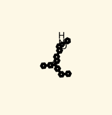 c1ccc(-c2ccc(N(c3ccc(-c4cccc(-c5ccccc5)c4)cc3)c3ccc4cc(-c5ccc6c7c(ccc6c5)NC(c5ccccc5)O7)ccc4c3)cc2)cc1